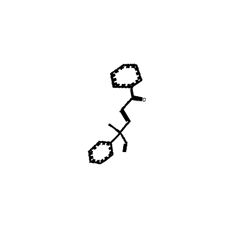 C=CC(C)(/C=C/C(=O)c1ccccc1)c1ccccc1